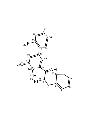 CC[C@@H](Cc1ccccc1)C(=N)c1nc(-c2ccncc2F)cc(=O)n1C